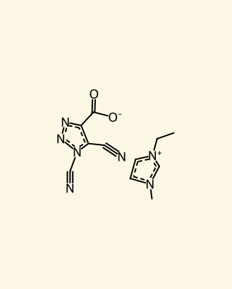 CC[n+]1ccn(C)c1.N#Cc1c(C(=O)[O-])nnn1C#N